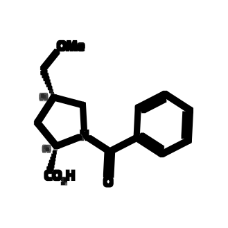 COC[C@H]1C[C@@H](C(=O)O)N(C(=O)c2ccccc2)C1